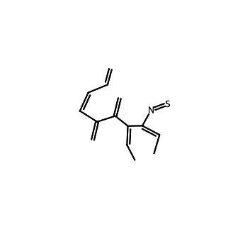 C=C/C=C\C(=C)C(=C)C(=C/C)/C(=C\C)N=S